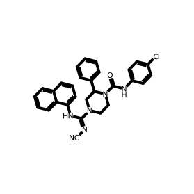 N#C/N=C(\Nc1cccc2ccccc12)N1CCN(C(=O)Nc2ccc(Cl)cc2)C(c2ccccc2)C1